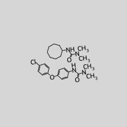 CN(C)C(=O)NC1CCCCCCC1.CN(C)C(=O)Nc1ccc(Oc2ccc(Cl)cc2)cc1